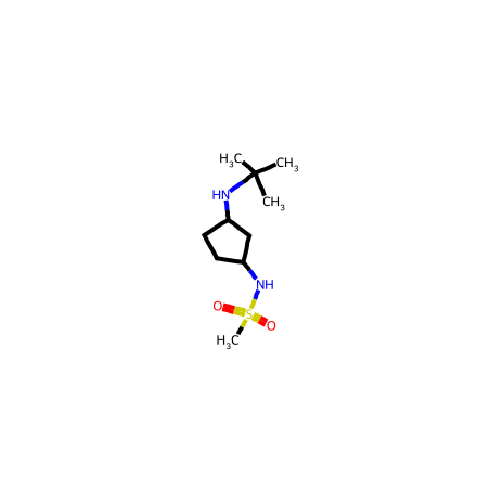 CC(C)(C)NC1CCC(NS(C)(=O)=O)C1